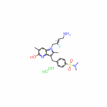 Cc1cc2c(nc1O)c(Cc1ccc(S(=O)(=O)N(C)C)cc1)c(C)n2C/C(F)=C/CN.Cl.Cl